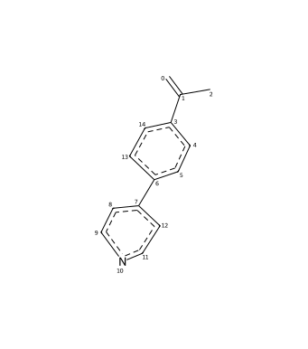 C=C(C)c1ccc(-c2ccncc2)cc1